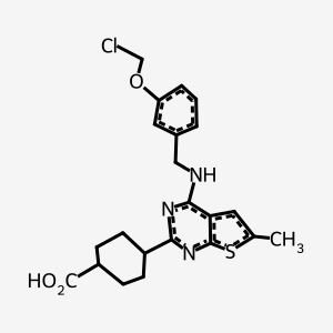 Cc1cc2c(NCc3cccc(OCCl)c3)nc(C3CCC(C(=O)O)CC3)nc2s1